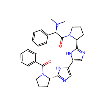 CN(C)[C@@H](C(=O)N1CCC[C@H]1c1ncc(-c2cnc([C@@H]3CCCN3C(=O)c3[c]cccc3)[nH]2)[nH]1)c1ccccc1